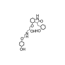 O=C1Nc2cccc(OCC(O)CNCCOc3ccc(O)cc3)c2C1Cc1ccccc1O